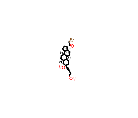 C[C@]12CC[C@H]3[C@@H](CC[C@@H]4C[C@@](O)(C#CCCO)CC[C@@H]43)[C@@H]1CC[C@@H]2C(=O)CBr